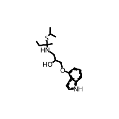 CCC(C)(NCC(O)COc1cccc2[nH]ccc12)SC(C)C